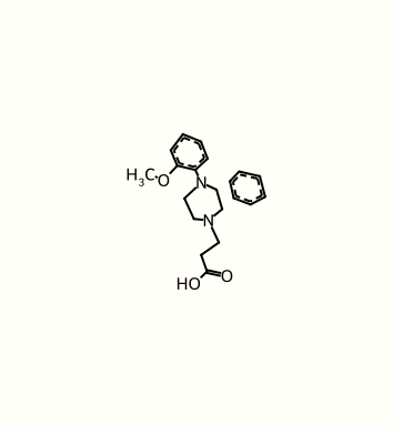 COc1ccccc1N1CCN(CCC(=O)O)CC1.c1ccccc1